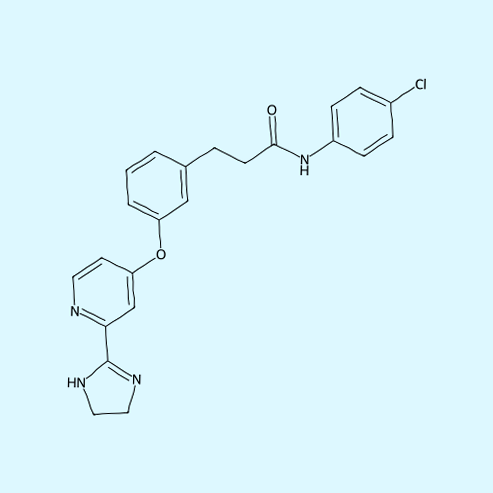 O=C(CCc1cccc(Oc2ccnc(C3=NCCN3)c2)c1)Nc1ccc(Cl)cc1